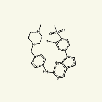 CN1CCN(Cc2ccc(Nc3ncc4ccn(-c5ccc(S(C)(=O)=O)c(F)c5)c4n3)cc2)CC1